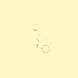 CCOC(=O)C1=CN(C(=O)OC(C)(C)C)SN(C)C1c1ccc(Cl)cc1Cl